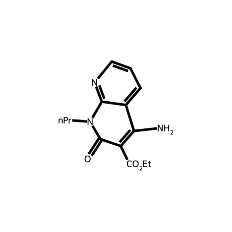 CCCn1c(=O)c(C(=O)OCC)c(N)c2cccnc21